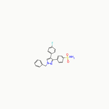 NS(=O)(=O)c1ccc(-c2nn(Cc3ccccc3)cc2-c2ccc(F)cc2)cc1